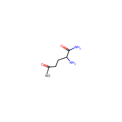 NC(=O)C(N)CCC(=O)N=O